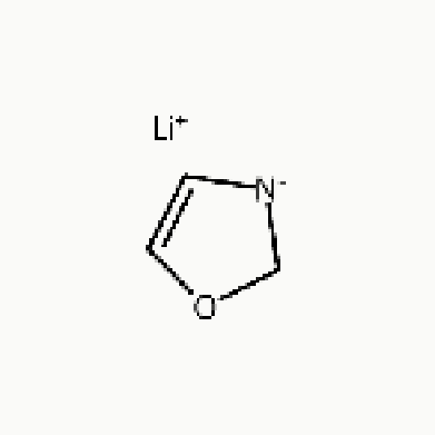 C1=COC[N-]1.[Li+]